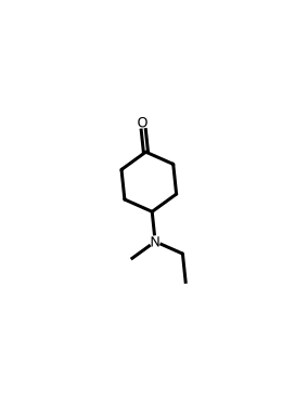 CCN(C)C1CCC(=O)CC1